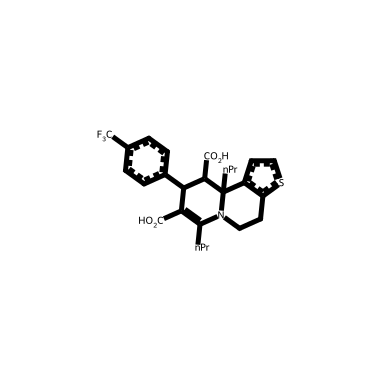 CCCC1=C(C(=O)O)C(c2ccc(C(F)(F)F)cc2)C(C(=O)O)C2(CCC)c3ccsc3CCN12